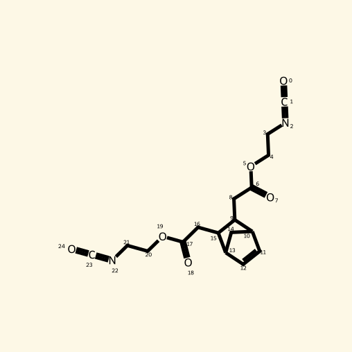 O=C=NCCOC(=O)CC1C2C=CC(C2)C1CC(=O)OCCN=C=O